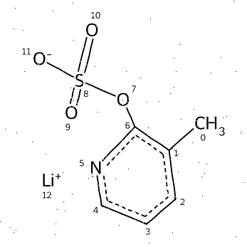 Cc1cccnc1OS(=O)(=O)[O-].[Li+]